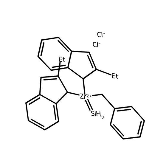 CCC1=Cc2ccccc2[CH]1[Zr+2](=[SiH2])([CH2]c1ccccc1)[CH]1C(CC)=Cc2ccccc21.[Cl-].[Cl-]